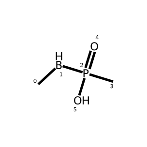 CBP(C)(=O)O